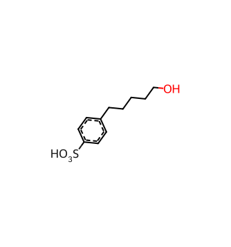 O=S(=O)(O)c1ccc(CCCCCO)cc1